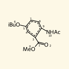 COC(=O)c1cc(OCC(C)C)ccc1NC(C)=O